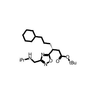 CC(C)NCc1noc([C@H](CCCC2CCCCC2)CC(=O)OC(C)(C)C)n1